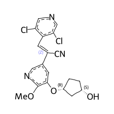 COc1ncc(/C(C#N)=C/c2c(Cl)cncc2Cl)cc1O[C@@H]1CC[C@H](O)C1